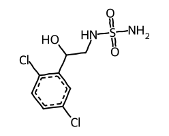 NS(=O)(=O)NCC(O)c1cc(Cl)ccc1Cl